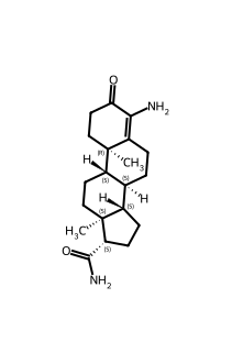 C[C@]12CC[C@H]3[C@@H](CCC4=C(N)C(=O)CC[C@@]43C)[C@@H]1CC[C@@H]2C(N)=O